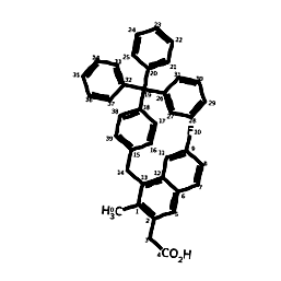 Cc1c(CC(=O)O)cc2ccc(F)cc2c1Cc1ccc(C(c2ccccc2)(c2ccccc2)c2ccccc2)cc1